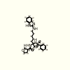 O=C(NC(CCCCCNc1nc2ccccc2[nH]1)(NS(=O)(=O)c1ccccc1)C(=O)O)C1CCON1